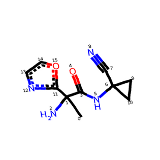 CC(N)(C(=O)NC1(C#N)CC1)c1ncco1